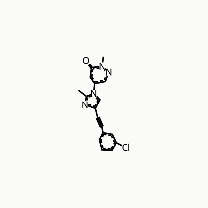 Cc1nc(C#Cc2cccc(Cl)c2)cn1-c1cnn(C)c(=O)c1